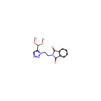 CCOC(OCC)c1cnnn1CCN1C(=O)c2ccccc2C1=O